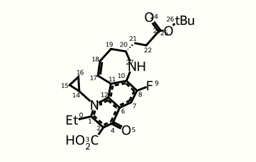 CCc1c(C(=O)O)c(=O)c2cc(F)c3c(c2n1C1CC1)C=CC[C@H](CCC(=O)OC(C)(C)C)N3